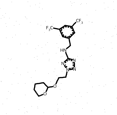 FC(F)(F)c1cc(CNc2nnn(CCOC3CCCCO3)n2)cc(C(F)(F)F)c1